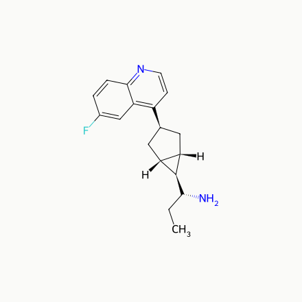 CC[C@@H](N)[C@H]1[C@@H]2C[C@@H](c3ccnc4ccc(F)cc34)C[C@@H]21